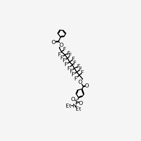 CCN(CC)S(=O)(=O)c1ccc(C(=O)OCC(F)(F)C(F)(F)C(F)(F)C(F)(F)C(F)(F)C(F)(F)C(F)(F)C(F)(F)COC(=O)c2ccccc2)cc1